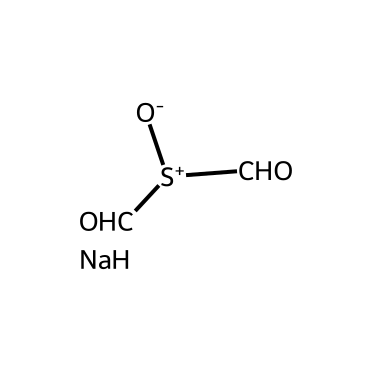 O=C[S+]([O-])C=O.[NaH]